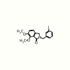 COc1ccc2c(c1OC)C(=O)N(Cc1cccc(I)c1)C2